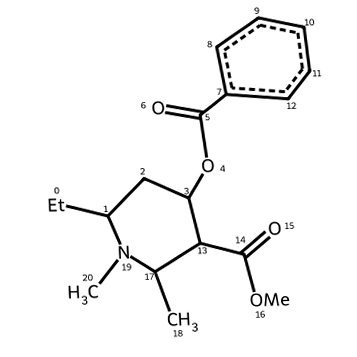 CCC1CC(OC(=O)c2ccccc2)C(C(=O)OC)C(C)N1C